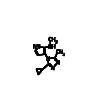 CNc1[nH]ccc1-n1c(C)nnc1C1CC1